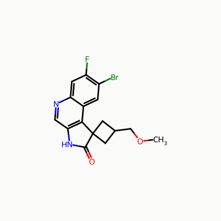 COCC1CC2(C1)C(=O)Nc1cnc3cc(F)c(Br)cc3c12